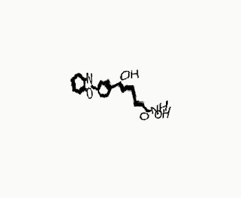 O=C(CCCC[C@H](O)c1ccc(-c2nc3ccccc3o2)cc1)NO